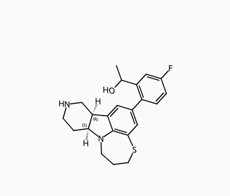 CC(O)c1cc(F)ccc1-c1cc2c3c(c1)[C@@H]1CNCC[C@@H]1N3CCCS2